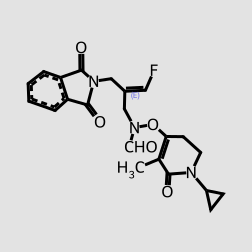 CC1=C(ON(C=O)C/C(=C/F)CN2C(=O)c3ccccc3C2=O)CCN(C2CC2)C1=O